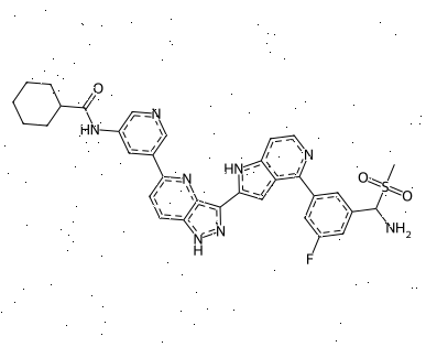 CS(=O)(=O)C(N)c1cc(F)cc(-c2nccc3[nH]c(-c4n[nH]c5ccc(-c6cncc(NC(=O)C7CCCCC7)c6)nc45)cc23)c1